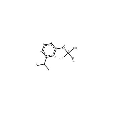 [CH2]C(C)c1cccc(OC(F)(F)F)c1